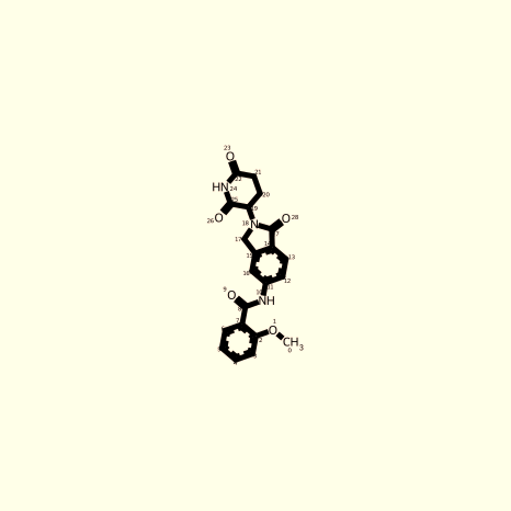 COc1ccccc1C(=O)Nc1ccc2c(c1)CN(C1CCC(=O)NC1=O)C2=O